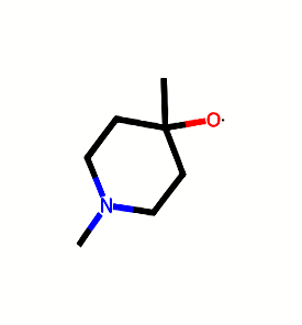 CN1CCC(C)([O])CC1